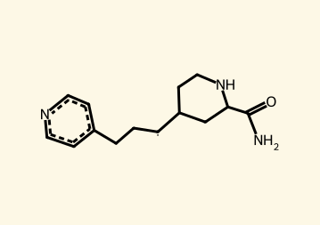 NC(=O)C1CC([CH]CCc2ccncc2)CCN1